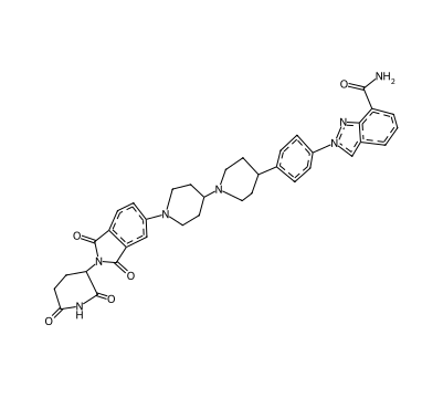 NC(=O)c1cccc2cn(-c3ccc(C4CCN(C5CCN(c6ccc7c(c6)C(=O)N(C6CCC(=O)NC6=O)C7=O)CC5)CC4)cc3)nc12